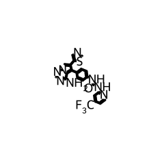 Nc1ncnn2cc(-c3cncs3)c(-c3ccc(NC(=O)Nc4cc(C(F)(F)F)ccn4)cc3)c12